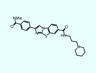 CNC(=O)c1ccc(-c2cn3c(n2)sc2cc(C(=O)NCCCN4CCCCC4)ccc23)cc1